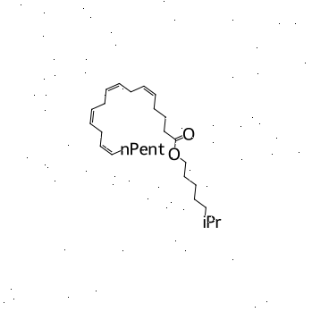 CCCCC/C=C\C/C=C\C/C=C\C/C=C\CCCC(=O)OCCCCCC(C)C